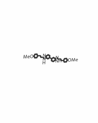 COc1ccc(/C=C/c2nc3cc(-c4ccc5nc(/C=C/c6ccc(OC)cc6)[nH]c5c4)ccc3[nH]2)cc1